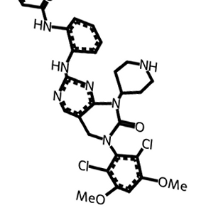 C=CC(=O)Nc1ccccc1Nc1ncc2c(n1)N(C1CCNCC1)C(=O)N(c1c(Cl)c(OC)cc(OC)c1Cl)C2